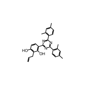 C=CCc1c(O)ccc(-c2nc(-c3ccc(C)cc3C)nc(-c3ccc(C)cc3C)n2)c1O